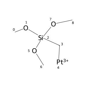 CO[Si]([CH2][Pt+3])(OC)OC